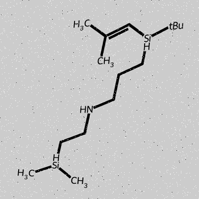 CC(C)=C[SiH](CCCNCC[SiH](C)C)C(C)(C)C